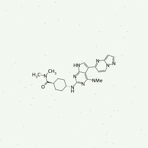 CNc1nc(N[C@H]2CC[C@H](C(=O)N(C)C)CC2)nc2[nH]cc(-c3ccn4nccc4n3)c12